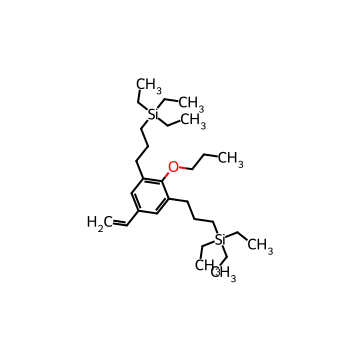 C=Cc1cc(CCC[Si](CC)(CC)CC)c(OCCC)c(CCC[Si](CC)(CC)CC)c1